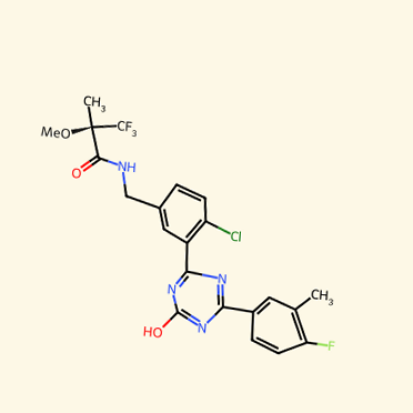 CO[C@](C)(C(=O)NCc1ccc(Cl)c(-c2nc(O)nc(-c3ccc(F)c(C)c3)n2)c1)C(F)(F)F